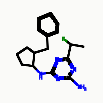 CC(F)c1nc(N)nc(NC2CCCC2Cc2ccccc2)n1